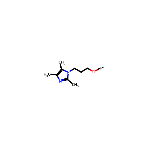 Cc1nc(C)n(CCCOC(C)C)c1C